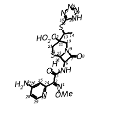 CON=C(C(=O)NC1C(=O)N2CC(C(=O)O)(C(C)Sc3nnn[nH]3)CS[C@H]12)c1cc(N)ccn1